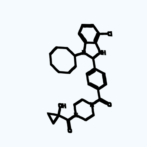 O=C(c1ccc(C2Nc3c(Cl)cccc3N2C2CCCCCCC2)cc1)N1CCN(C(=O)C2(O)CC2)CC1